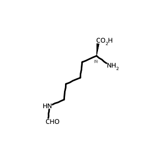 N[C@@H](CCCCNC=O)C(=O)O